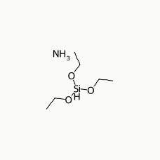 CCO[SiH](OCC)OCC.N